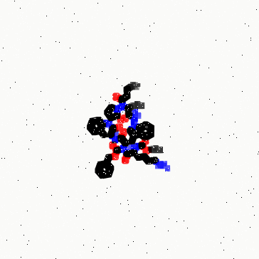 CCCCC(C(N)=O)N(C(=O)CCC(C)C)N1CC[C@H](NC(=O)[C@@H](Cc2ccccc2)NC(=O)[C@@H](Cc2c[nH]c3ccccc23)N(C(=O)OCc2ccccc2)C(=O)[C@H](CCCCN)NC(=O)OC(C)(C)C)C1=O